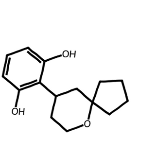 Oc1cccc(O)c1C1CCOC2(CCCC2)C1